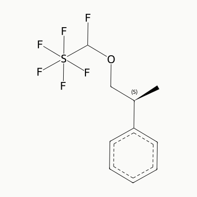 C[C@H](COC(F)S(F)(F)(F)(F)F)c1ccccc1